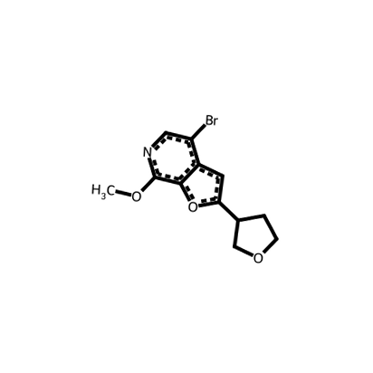 COc1ncc(Br)c2cc(C3CCOC3)oc12